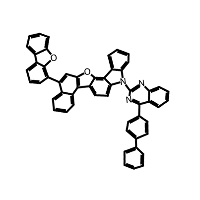 c1ccc(-c2ccc(-c3nc(-n4c5ccccc5c5c6oc7cc(-c8cccc9c8oc8ccccc89)c8ccccc8c7c6ccc54)nc4ccccc34)cc2)cc1